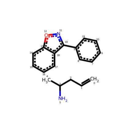 C=CCC(C)N.c1ccc(-c2noc3ccccc23)cc1